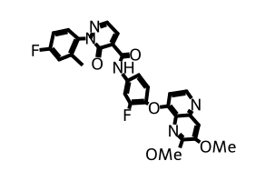 COc1cc2nccc(Oc3ccc(NC(=O)c4ccnn(-c5ccc(F)cc5C)c4=O)cc3F)c2nc1OC